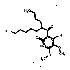 CCCCCCC(CCCC)C(=O)c1c(C)c(OC)c(OC)[nH]c1=O